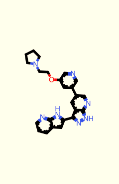 c1cnc2[nH]c(-c3n[nH]c4ncc(-c5cncc(OCCN6CCCC6)c5)cc34)cc2c1